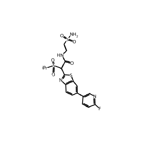 CC(C)S(=O)(=O)C(C(=O)NCCS(N)(=O)=O)c1nc2ccc(-c3ccc(F)nc3)cc2s1